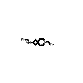 CC(C)CNC1CC2(CCN(CC(C)C)CC2)C1